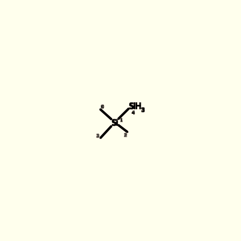 C[Si](C)(C)[SiH3]